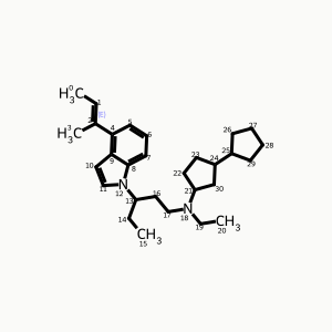 C/C=C(\C)c1cccc2c1ccn2C(CC)CCN(CC)C1CCC(C2CCCC2)C1